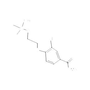 COC(=O)c1ccc(OCCO[Si](C)(C)C(C)(C)C)c(Cl)c1